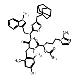 Cc1cc(O)cc(C)c1C[C@H](NC(=O)[C@@H](CCCn1ccnc1N)OC(N)=O)C(=O)N[C@@H](Cc1cn(C)c2ccccc12)c1nc(CC23CC4CC(CC(C4)C2)C3)no1